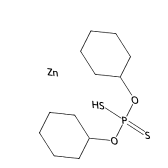 S=P(S)(OC1CCCCC1)OC1CCCCC1.[Zn]